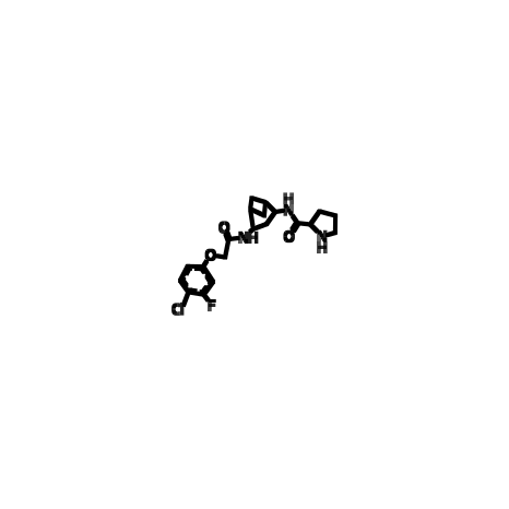 O=C(COc1ccc(Cl)c(F)c1)NC1CC(NC(=O)C2CCCN2)C2CC1C2